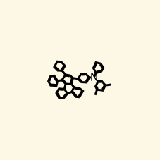 Cc1cc(C)cc(N(c2ccccc2)c2ccc(-c3cc(C4=CCCC=C4)c(-c4ccccc4)c4c5ccccc5c5ccccc5c34)cc2)c1